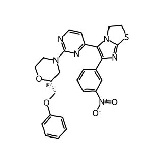 O=[N+]([O-])c1cccc(-c2nc3n(c2-c2ccnc(N4CCO[C@@H](COc5ccccc5)C4)n2)CCS3)c1